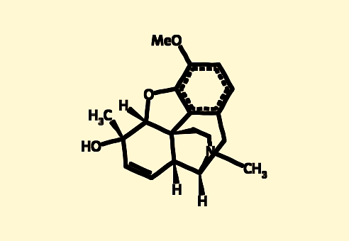 COc1ccc2c3c1O[C@@H]1[C@]34CCN(C)[C@H](C2)[C@@H]4C=C[C@]1(C)O